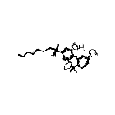 CCCCCCCC(C)(C)c1cc(O)c2c(c1)OC(C)(C)c1ccc(OC)cc1-2